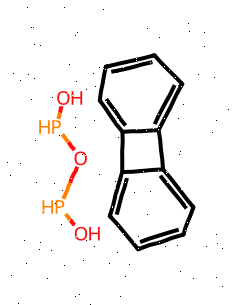 OPOPO.c1ccc2c(c1)-c1ccccc1-2